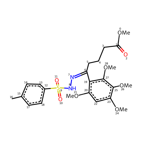 COC(=O)CCCC(=NNS(=O)(=O)c1ccc(C)cc1)c1c(OC)cc(OC)c(OC)c1OC